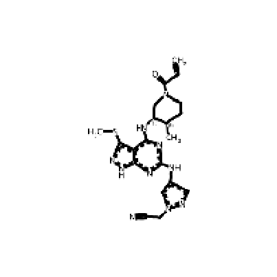 C=CC(=O)N1CC[C@@H](C)[C@@H](Nc2nc(Nc3cnn(CC#N)c3)nc3[nH]nc(SC)c23)C1